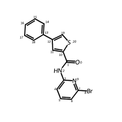 O=C(Nc1cccc(Br)n1)c1cc(-c2ccccc2)cs1